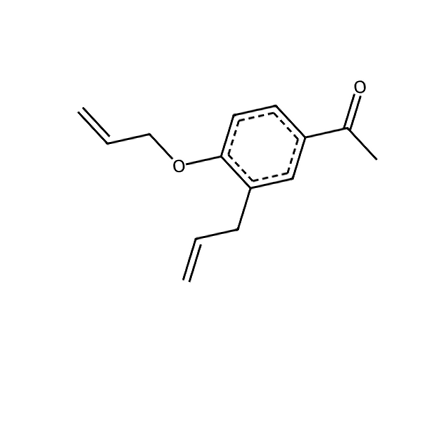 C=CCOc1ccc(C(C)=O)cc1CC=C